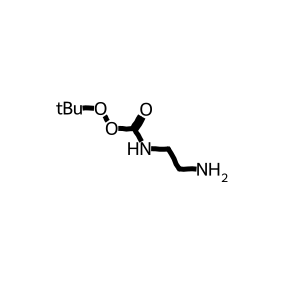 CC(C)(C)OOC(=O)NCCN